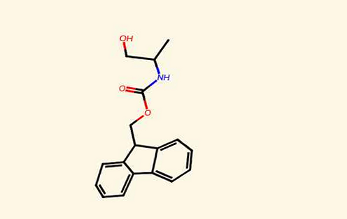 CC(CO)NC(=O)OCC1c2ccccc2-c2ccccc21